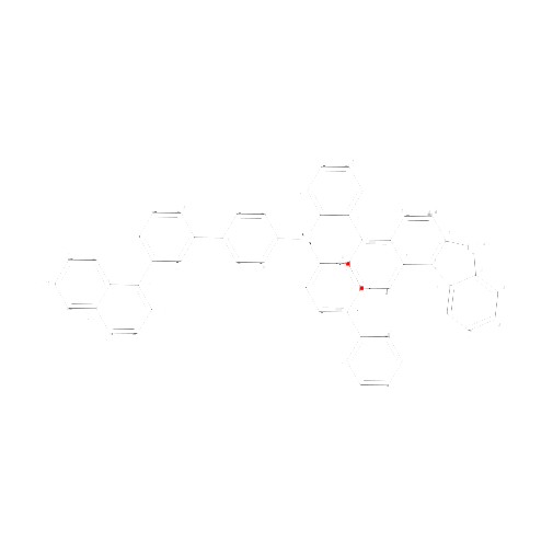 c1ccc(-c2ccc(N(c3ccc(-c4cccc(-c5cccc6ccccc56)c4)cc3)c3ccccc3-c3cccc4c3ccc3oc5ccccc5c34)cc2)cc1